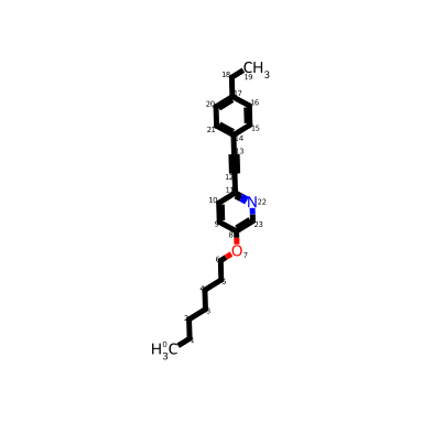 CCCCCCCOc1ccc(C#Cc2ccc(CC)cc2)nc1